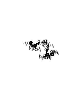 CC1=CC(C2C(=O)Oc3c2cc(CCC(=O)OCCC(C)(C)OCCC(C)(C)OCCOC(=O)CCc2cc4c(c(C(C)(C)C)c2)OC(=O)C4c2cccc(C)c2)cc3C(C)(C)C)=CC=CC1(C)C